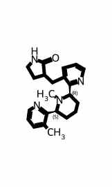 Cc1cccnc1[C@@H]1CCC[C@H](c2ncccc2CC2CCNC2=O)N1C